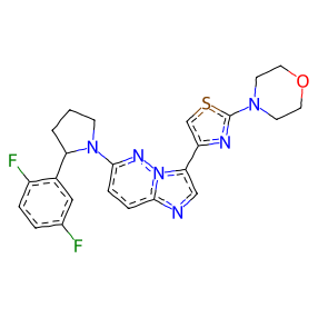 Fc1ccc(F)c(C2CCCN2c2ccc3ncc(-c4csc(N5CCOCC5)n4)n3n2)c1